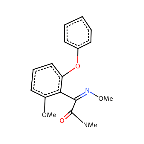 CNC(=O)C(=NOC)c1c(OC)cccc1Oc1ccccc1